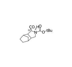 CC(C)(C)OC(=O)N1CC2C3CCC(C3)C2[C@H]1C(=O)O